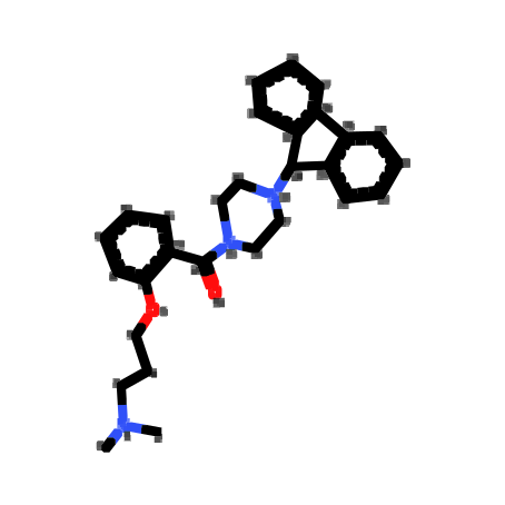 CN(C)CCCOc1ccccc1C(=O)N1CCN(C2c3ccccc3-c3ccccc32)CC1